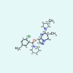 Cc1ccc(Br)c(C(=O)N2CCCC[C@H]2c2cc3nc(N4CC[C@H](C)C4)c(C)cn3n2)c1